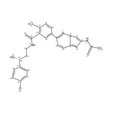 CC(=O)Nc1cn2nc(-c3ccc(C)c(C(=O)NCC[C@@H](O)c4ccc(Cl)cc4)c3)ccc2n1